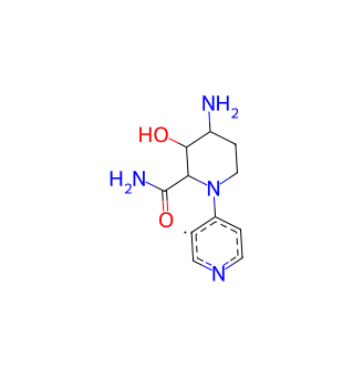 NC(=O)C1C(O)C(N)CCN1c1[c]cncc1